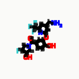 NCc1cc(Oc2cc(C(=O)N3C[C@@H](O)[C@H](F)C3)ccc2O)nc(C(F)(F)F)c1